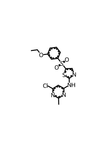 CCOc1cccc(S(=O)(=O)c2cnc(Nc3cc(Cl)nc(C)n3)s2)c1